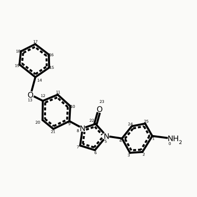 Nc1ccc(-n2ccn(-c3ccc(Oc4ccccc4)cc3)c2=O)cc1